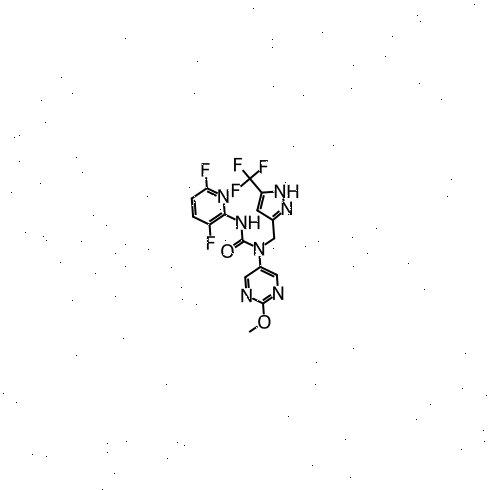 COc1ncc(N(Cc2cc(C(F)(F)F)[nH]n2)C(=O)Nc2nc(F)ccc2F)cn1